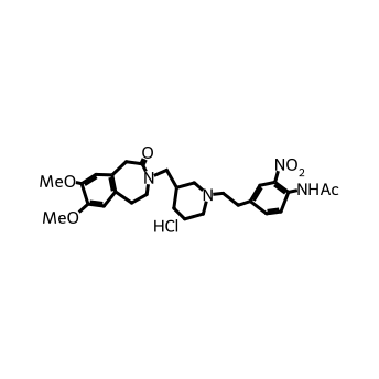 COc1cc2c(cc1OC)CC(=O)N(CC1CCCN(CCc3ccc(NC(C)=O)c([N+](=O)[O-])c3)C1)CC2.Cl